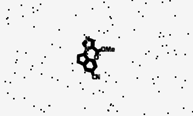 COC(=O)c1cncn1C1CCc2cc(C#N)ccc21